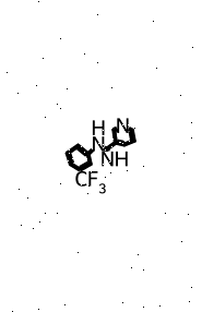 N=C(Nc1cccc(C(F)(F)F)c1)c1cccnc1